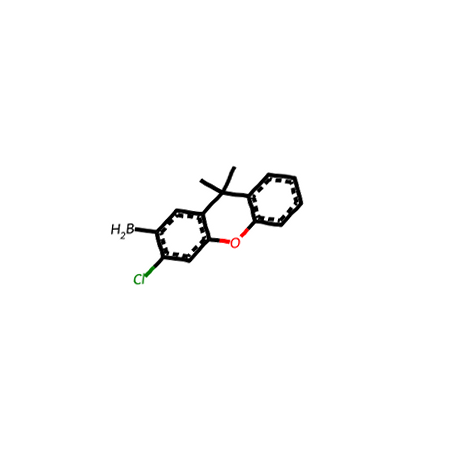 Bc1cc2c(cc1Cl)Oc1ccccc1C2(C)C